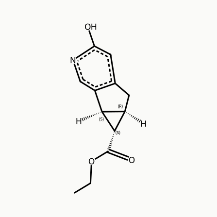 CCOC(=O)[C@H]1[C@@H]2Cc3cc(O)ncc3[C@@H]21